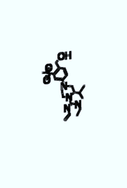 C=C/N=C(\N=C/C)N1CCN(c2ccc(CO)c(S(C)(=O)=O)c2)C[C@H]1C(C)C